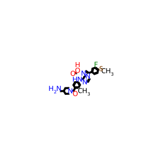 CSc1ccc(-c2cnc3c(Nc4ccc(C(=O)N5CCC(CN)CC5)c(C)c4)nccn23)cc1F.O=CO